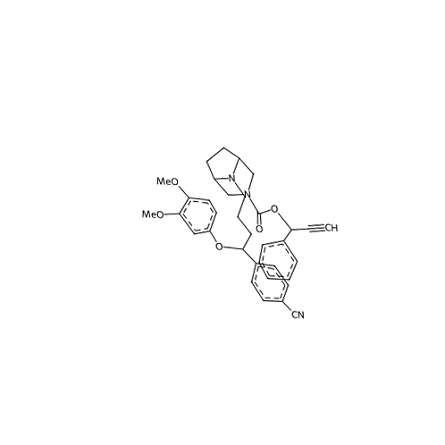 C#CC(OC(=O)N1CC2CCC(C1)N2CCCC(Oc1ccc(OC)c(OC)c1)c1ccc(C#N)cc1)c1ccccc1